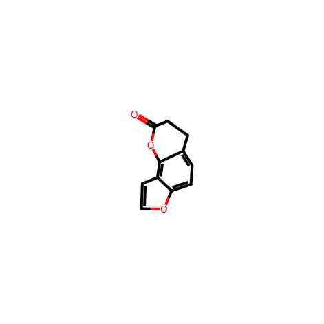 O=C1CCc2ccc3occc3c2O1